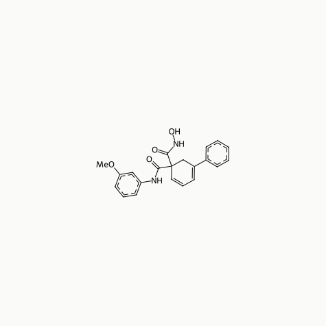 COc1cccc(NC(=O)C2(C(=O)NO)C=CC=C(c3ccccc3)C2)c1